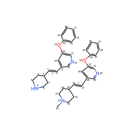 C(=C\C1CCNCC1)/c1cncc(Oc2ccccc2)c1.CN1CCC(/C=C/c2cncc(Oc3ccccc3)c2)CC1